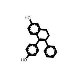 Oc1ccc(C2=C(c3ccccc3)CCc3cc(O)ccc32)cc1